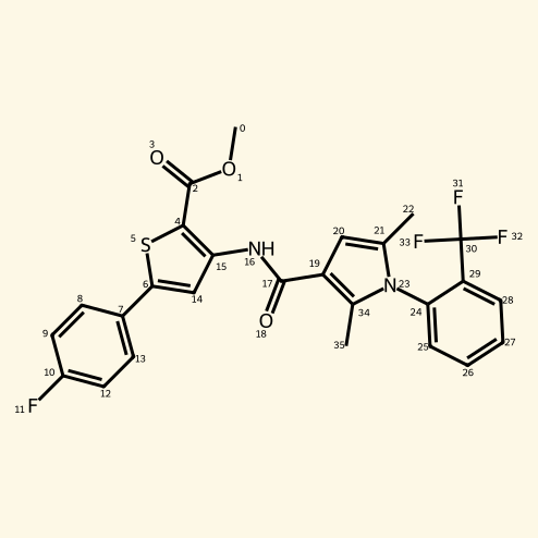 COC(=O)c1sc(-c2ccc(F)cc2)cc1NC(=O)c1cc(C)n(-c2ccccc2C(F)(F)F)c1C